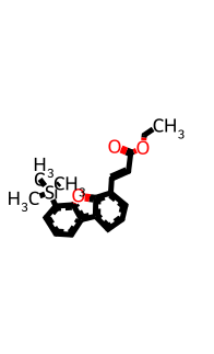 CCOC(=O)C=Cc1cccc2c1oc1c([Si](C)(C)C)cccc12